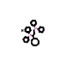 C1=CCCC(C(CCP(c2ccccc2)c2ccccc2)P(c2ccccc2)c2ccccc2)=CCC1.[Rh]